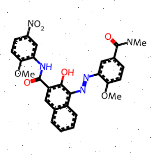 CNC(=O)c1ccc(OC)c(/N=N/c2c(O)c(C(=O)Nc3cc([N+](=O)[O-])ccc3OC)cc3ccccc23)c1